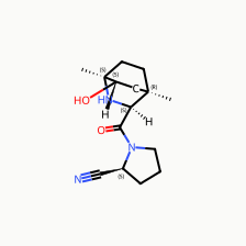 C[C@]12CC[C@](C)(N[C@@H]1C(=O)N1CCC[C@H]1C#N)[C@@H](O)C2